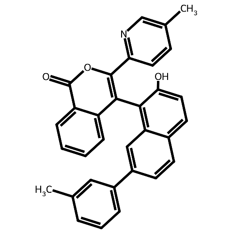 Cc1ccc(-c2oc(=O)c3ccccc3c2-c2c(O)ccc3ccc(-c4cccc(C)c4)cc23)nc1